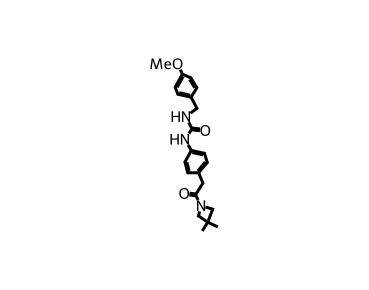 COc1ccc(CNC(=O)Nc2ccc(CC(=O)N3CC(C)(C)C3)cc2)cc1